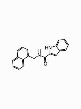 O=C(NCc1cccc2ccccc12)c1cc2ccccc2[nH]1